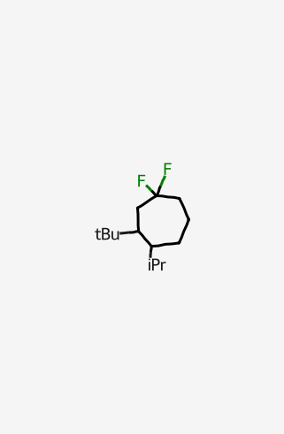 CC(C)C1CCCC(F)(F)CC1C(C)(C)C